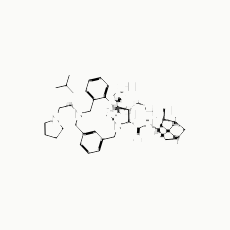 CC(C)C[C@@H](CN1CCCC1)N(Cc1cccc(CN2O[C@@H](CO)[C@@H]([C@H](C)O)[C@H]2C(=O)N[C@H]2C[C@H]3C[C@@H]([C@@H]2C)C3(C)C)c1)Cc1ccccc1S(=O)(=O)O